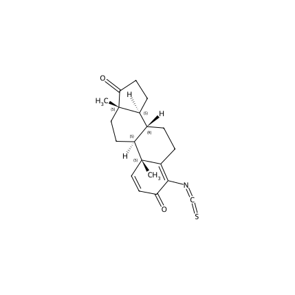 C[C@]12C=CC(=O)C(N=C=S)=C1CC[C@@H]1[C@@H]2CC[C@]2(C)C(=O)CC[C@@H]12